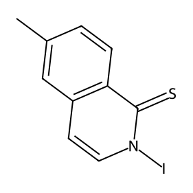 Cc1ccc2c(=S)n(I)ccc2c1